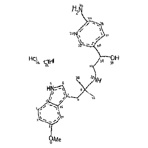 COc1ccc2[nH]cc(CC(C)(C)NCC(O)c3ccc(N)nc3)c2c1.Cl.Cl